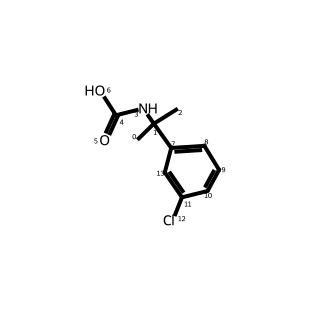 CC(C)(NC(=O)O)c1cccc(Cl)c1